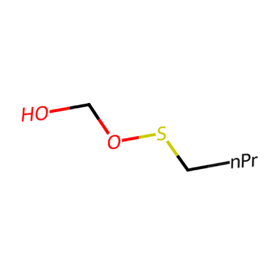 CCCCSOCO